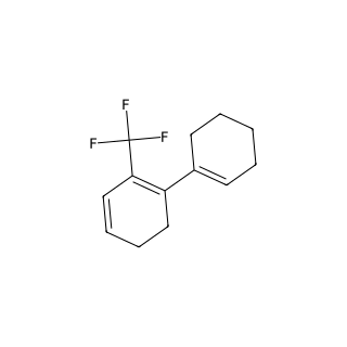 FC(F)(F)C1=C(C2=CCCCC2)CCC=C1